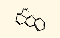 Nc1cccc2cc3ccccc3nc12